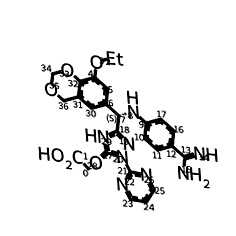 CC(=O)O.CCOc1cc([C@H](Nc2ccc(C(=N)N)cc2)c2nn(-c3ncccn3)c(=O)[nH]2)cc2c1OCOC2